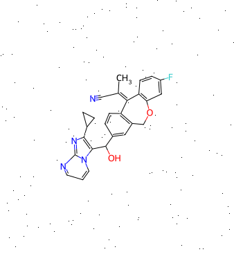 CC(C#N)=C1c2ccc(C(O)c3c(C4CC4)nc4ncccn34)cc2COc2cc(F)ccc21